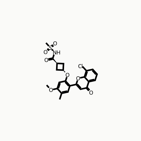 COc1cc(O[C@H]2C[C@H](C(=O)NS(C)(=O)=O)C2)c(-c2cc(=O)c3cccc(Cl)c3o2)cc1C